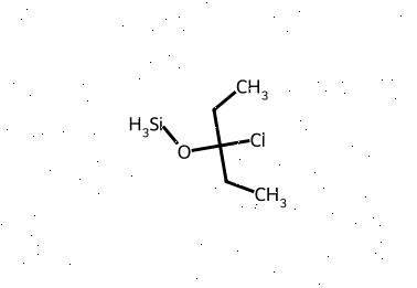 CCC(Cl)(CC)O[SiH3]